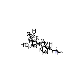 C/C=C/CNc1ncnc2c1ncn2[C@@H]1O[C@H](CO)[C@@H](O[PH](=O)S)[C@H]1F